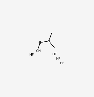 CN(C)[B]C#N.F.F.F.F